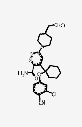 N#Cc1ccc(OC2(c3cc(N4CCC(CC=O)CC4)nnc3C(N)=O)CCCCC2)cc1Cl